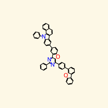 c1ccc(-c2nc(-c3ccc(-c4cccc5c4oc4ccccc45)cc3)c3oc4ccc(-c5ccc6c(c5)c5ccc7ccccc7c5n6-c5ccccc5)cc4c3n2)cc1